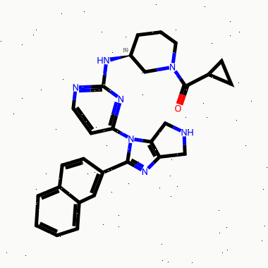 O=C(C1CC1)N1CCC[C@H](Nc2nccc(-n3c(-c4ccc5ccccc5c4)nc4c3CNC4)n2)C1